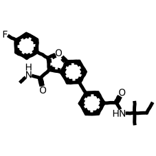 CCC(C)(C)NC(=O)c1cccc(-c2ccc3oc(-c4ccc(F)cc4)c(C(=O)NC)c3c2)c1